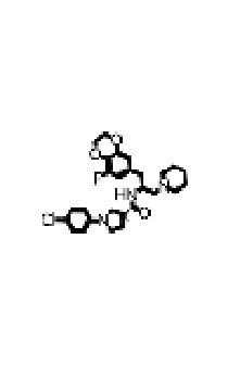 O=C(NC(Cc1cc(F)c2c(c1)OCCO2)CN1CCCCC1)[C@@H]1CCN(c2ccc(Cl)cc2)C1